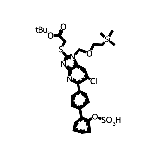 CC(C)(C)OC(=O)CSc1nc2nc(-c3ccc(-c4ccccc4OS(=O)(=O)O)cc3)c(Cl)cc2n1COCC[Si](C)(C)C